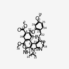 COC(=O)c1ccc(-c2c(CN)n(C(C)C)c3ncnc(NCc4ccc(OC)cc4OC)c23)c(C(=O)OC)c1